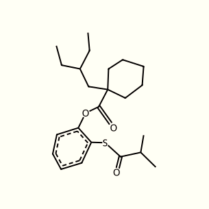 CCC(CC)CC1(C(=O)Oc2ccccc2SC(=O)C(C)C)CCCCC1